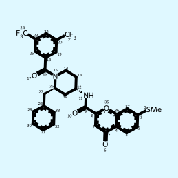 CSc1ccc2c(=O)cc(C(=O)N[C@H]3CCN(C(=O)c4cc(C(F)(F)F)cc(C(F)(F)F)c4)[C@H](Cc4ccccc4)C3)oc2c1